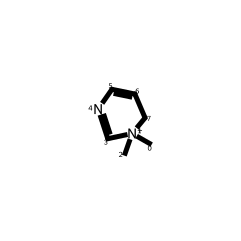 C[N+]1(C)C=NC=CC1